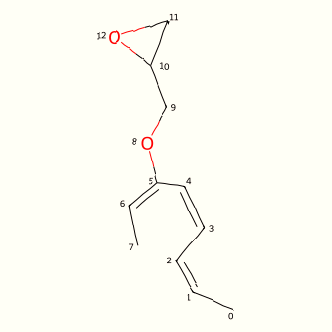 C\C=C/C=C\C(=C/C)OCC1CO1